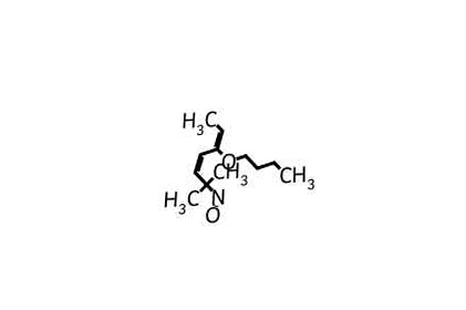 C/C=C(\C=C/C(C)(C)N=O)OCCCC